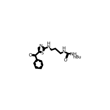 CCCCNC(=O)NCCCNc1ncc(C(=O)c2ccccc2)s1